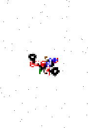 CC1(OC(=O)c2ccccc2)[C@@H](F)[C@@H](COC(=O)c2ccccc2)O[C@H]1n1ccc(=O)[nH]c1=S